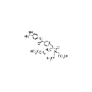 C=CCN(CC(=O)OCC)C(=O)/C(C)=C/c1ccc(C(=O)Oc2ccc(C(=N)N)cc2)cc1.CC(=O)O